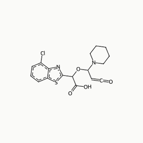 O=C=CC(OC(C(=O)O)c1nc2c(Cl)cccc2s1)N1CCCCC1